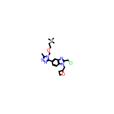 Cc1nnc(-c2ccc3c(c2)nc(CCl)n3CC2CCO2)n1COCC[Si](C)(C)C